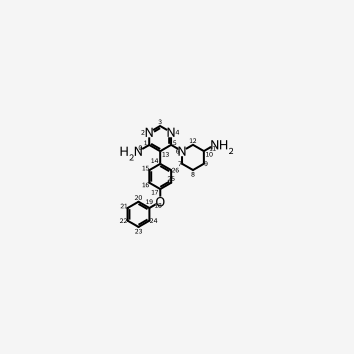 Nc1ncnc(N2CCCC(N)C2)c1-c1ccc(Oc2ccccc2)cc1